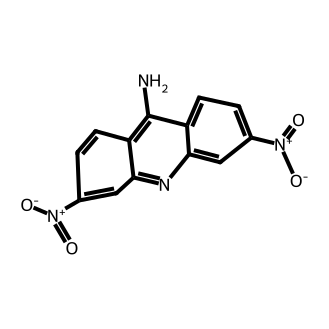 Nc1c2ccc([N+](=O)[O-])cc2nc2cc([N+](=O)[O-])ccc12